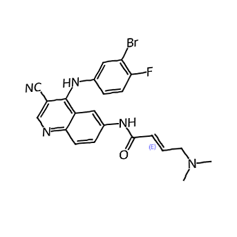 CN(C)C/C=C/C(=O)Nc1ccc2ncc(C#N)c(Nc3ccc(F)c(Br)c3)c2c1